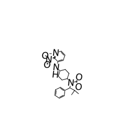 CC1(C)OC(=O)N(C2CCC(Nc3cccnc3[N+](=O)[O-])CC2)C1c1ccccc1